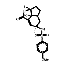 COc1ccc(S(=O)(=O)N[C@@]2(C)C=C3C(=O)O[C@@H]4CCC(C2)[C@]34O)cc1